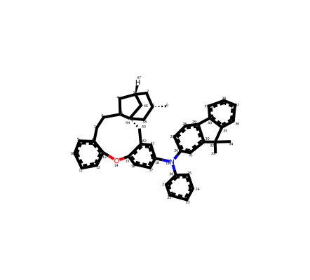 C[C@H]1C[C@H]2CC3CCc4ccccc4Oc4ccc(N(c5ccccc5)c5ccc6c(c5)C(C)(C)c5ccccc5-6)cc4C[C@@]3(C1)C2